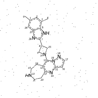 Cc1cc(C)c2[nH]c(C3CN(c4c5c(nc6ccnn46)CCNCC5)C3)nc2c1